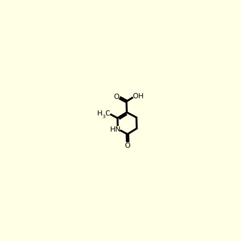 CC1=C(C(=O)O)CCC(=O)N1